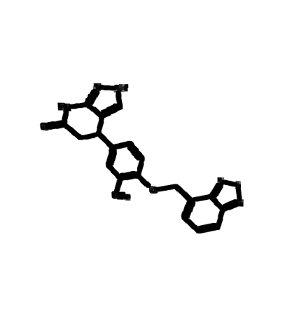 COc1cc(C2CC(=O)Nc3n[nH]cc32)ccc1OCc1cccc2nsnc12